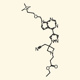 CCOC(=O)CCN1CC(CC#N)(n2cc(-c3ncnc4c3ccn4COCC[Si](C)(C)C)cn2)C1